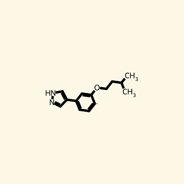 CC(C)CCOc1[c]ccc(-c2cn[nH]c2)c1